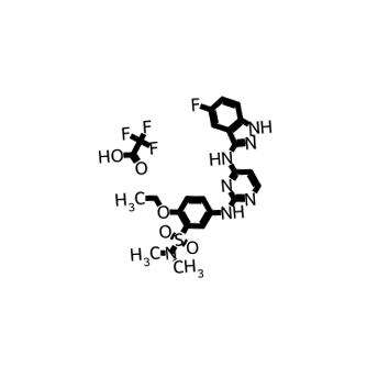 CCOc1ccc(Nc2nccc(Nc3n[nH]c4ccc(F)cc34)n2)cc1S(=O)(=O)N(C)C.O=C(O)C(F)(F)F